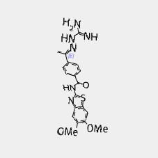 COc1cc2nc(NC(=O)c3ccc(/C(C)=N/NC(=N)N)cc3)sc2cc1OC